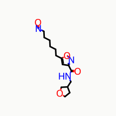 O=NCCCCCCc1cc(C(=O)NCC2CCOC2)no1